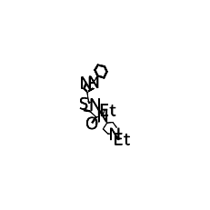 CCN1CCC(N(CC)C(=O)c2csc(-c3cnn(-c4ccccc4)c3)n2)CC1